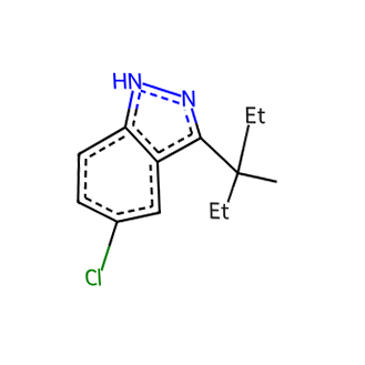 CCC(C)(CC)c1n[nH]c2ccc(Cl)cc12